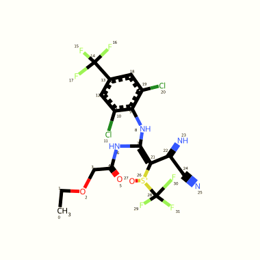 CCOCC(=O)N/C(Nc1c(Cl)cc(C(F)(F)F)cc1Cl)=C(/C(=N)C#N)[S+]([O-])C(F)(F)F